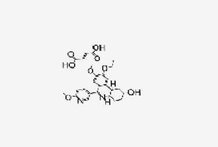 CCOc1cc2c(cc1OC)C(c1ccc(OC)nc1)=N[C@@H]1CC[C@@H](O)C[C@H]21.O=C(O)C=CC(=O)O